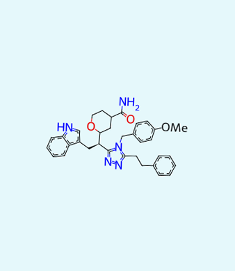 COc1ccc(Cn2c(CCc3ccccc3)nnc2[C@@H](Cc2c[nH]c3ccccc23)C2CC(C(N)=O)CCO2)cc1